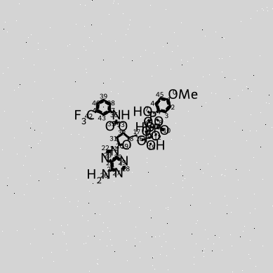 COc1ccc(P(=O)(O)OP(=O)(O)OP(=O)(O)OC[C@H]2O[C@@H](n3cnc4c(N)ncnc43)C[C@H]2OC(=O)Nc2cccc(C(F)(F)F)c2)cc1